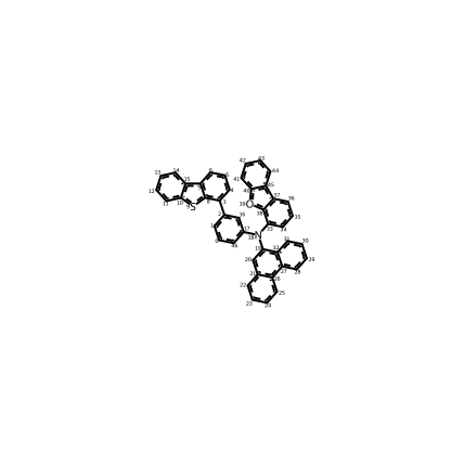 c1cc(-c2cccc3c2sc2ccccc23)cc(N(c2cc3ccccc3c3ccccc23)c2cccc3c2oc2ccccc23)c1